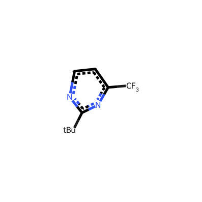 CC(C)(C)c1n[c]cc(C(F)(F)F)n1